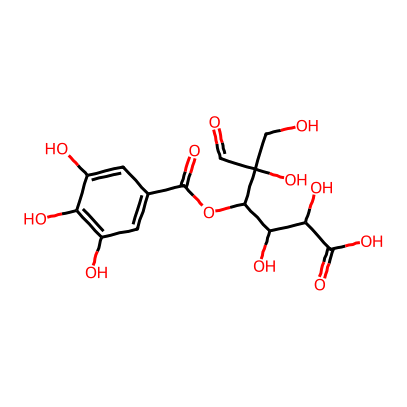 O=CC(O)(CO)C(OC(=O)c1cc(O)c(O)c(O)c1)C(O)C(O)C(=O)O